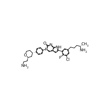 C[C@H](N)CCCc1cc(Cl)c(F)c(-c2cc3cn(-c4ccc([C@H]5CCO[C@H](CCN)C5)cc4)c(=O)nc3[nH]2)c1